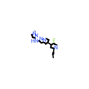 CC#Cc1cc(-c2ccn3nc(Nc4ccn(C)n4)cc3c2)c(F)cn1